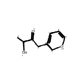 CC(O)C(=O)CC1=CC=COC1